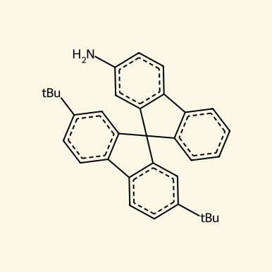 CC(C)(C)c1ccc2c(c1)C1(c3ccccc3-c3ccc(N)cc31)c1cc(C(C)(C)C)ccc1-2